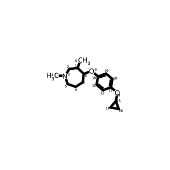 CC1CN(C)CCCC1Oc1ccc(OC2CC2)cc1